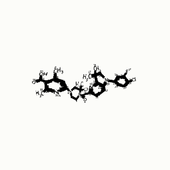 Cc1cc(N2CCN(C(=O)c3ccc4c(n3)C(C)(C)CN4c3ccc(Cl)c(F)c3)C(C)(C)C2)nc(C)c1C(=O)O